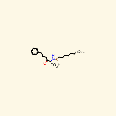 CCCCCCCCCCCCCCCCSN[C@H](C(=O)O)C(=O)CCCc1ccccc1